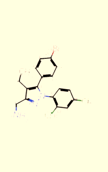 CCc1c(CN)nn(-c2ccc(Cl)cc2Cl)c1-c1ccc(Br)cc1